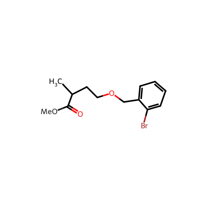 COC(=O)C(C)CCOCc1ccccc1Br